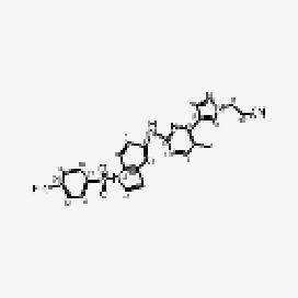 Cc1cnc(Nc2ccc3c(ccn3S(=O)(=O)c3ccc(C(F)(F)F)cc3)c2)nc1-c1cnn(CCC#N)c1